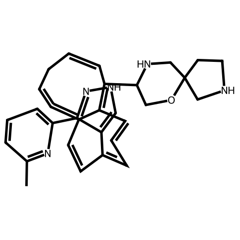 Cc1cccc(-c2n[nH]cc2C2=C\C=C\C3=C(C4COC5(CCNC5)CN4)\C=C/CC=C=C3/C=C\2)n1